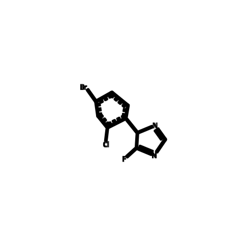 FC1=NC=NC1c1ccc(Br)cc1Cl